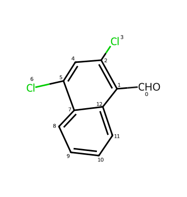 O=Cc1c(Cl)cc(Cl)c2ccccc12